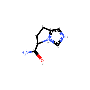 NC(=O)C1CCc2cncn21